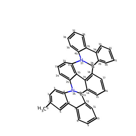 Cc1ccc2c(c1)-c1ccccc1B1c3cccc4c3-c3c(cccc3N12)N1B4c2ccccc2-c2ccccc21